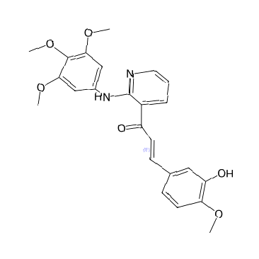 COc1ccc(/C=C/C(=O)c2cccnc2Nc2cc(OC)c(OC)c(OC)c2)cc1O